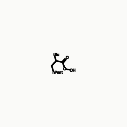 CCCCCCC(C(=O)OO)C(C)(C)C